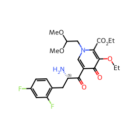 CCOC(=O)c1c(OCC)c(=O)c(C(=O)[C@@H](N)Cc2ccc(F)cc2F)cn1CC(OC)OC